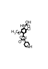 COc1cc(NC(=O)O)c(Cl)cc1-c1nn(C2CCNCC2)c(=O)o1